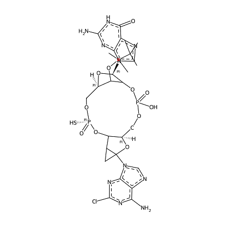 CC(C)(C)[Si](C)(C)OC1C2OP(=O)(O)OC[C@H]3OC4(n5cnc6c(N)nc(Cl)nc65)CC4C3O[P@](=O)(S)OC[C@H]1O[C@H]2n1cnc2c(=O)[nH]c(N)nc21